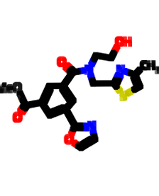 COC(=O)c1cc(C(=O)N(CCO)Cc2nc(C)cs2)cc(-c2ncco2)c1